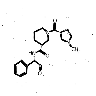 CN1CC[C@H](C(=O)N2CCC[C@@H](C(=O)N[C@H](C=O)c3ccccc3)C2)C1